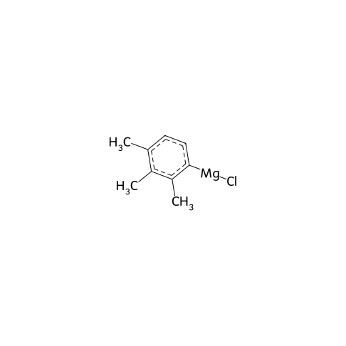 Cc1cc[c]([Mg][Cl])c(C)c1C